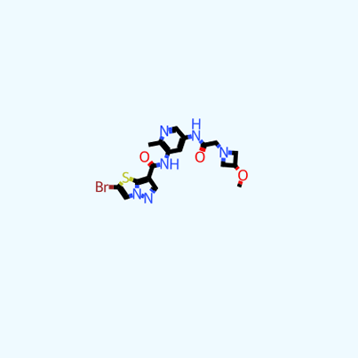 COC1CN(CC(=O)Nc2cnc(C)c(NC(=O)c3cnn4cc(Br)sc34)c2)C1